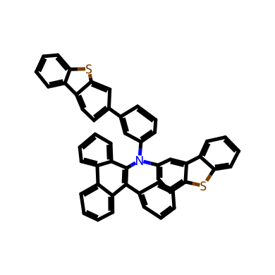 c1ccc(-c2c(N(c3cccc(-c4ccc5c(c4)sc4ccccc45)c3)c3ccc4sc5ccccc5c4c3)c3ccccc3c3ccccc23)cc1